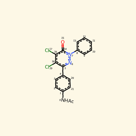 CC(=O)Nc1ccc(-c2nn(-c3ccccc3)c(=O)c(Cl)c2Cl)cc1